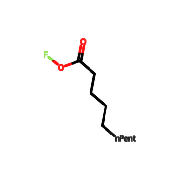 CCCCCCCCCC(=O)OF